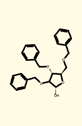 O[C@H]1O[C@H](COCc2ccccc2)[C@@H](OCc2ccccc2)C1OCc1ccccc1